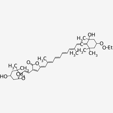 CCOOC1CC(C)(C)C(=C=C/C(C)=C/C=C/C=C/C=C(C)/C=C2C=C(/C=C/C34OC3(C)CC(O)CC4(C)C)C(=O)O/2)C(C)(O)C1